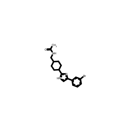 CC(=O)NCC1CCC(c2nc(-c3cccc(Br)c3)c[nH]2)CC1